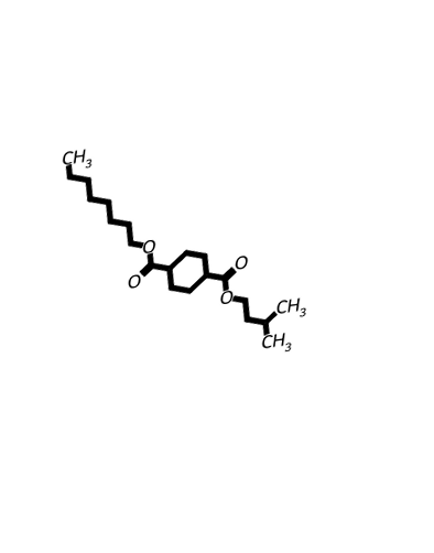 CCCCCCCCOC(=O)C1CCC(C(=O)OCCC(C)C)CC1